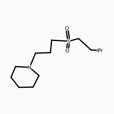 CC(C)CCS(=O)(=O)CCCN1CCCCC1